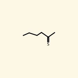 CCCCC(C)=S